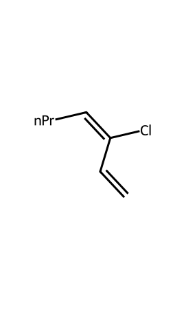 C=C/C(Cl)=C\CCC